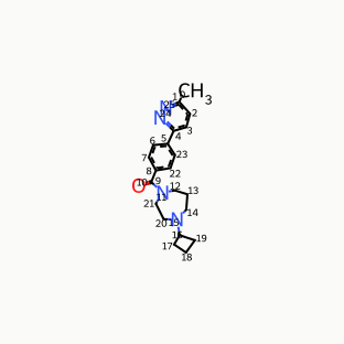 Cc1ccc(-c2ccc(C(=O)N3CCCN(C4CCC4)CC3)cc2)nn1